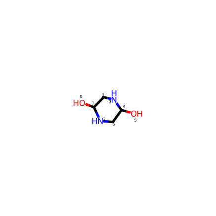 OC1CNC(O)CN1